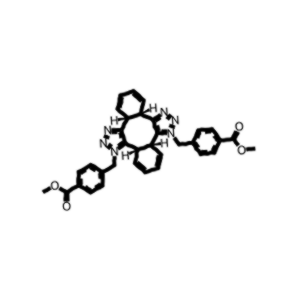 COC(=O)c1ccc(Cn2nnc3c2[C@H]2C=CC=C[C@H]2c2c(nnn2Cc2ccc(C(=O)OC)cc2)[C@H]2C=CC=C[C@@H]32)cc1